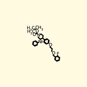 CC(C)(C)OC(=O)N1CCC(c2ccc(OCCCOCc3ccccc3F)cc2)C(Nc2ccccc2)C1